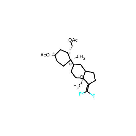 CC(=O)OC[C@H]1C[C@@H](OC(C)=O)CC[C@]1(C)C1CC[C@]2(C)C(=C(F)F)CCC2C1